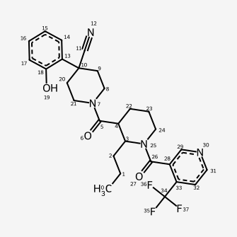 CCCC1C(C(=O)N2CCC(C#N)(c3ccccc3O)CC2)CCCN1C(=O)c1cnccc1C(F)(F)F